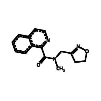 CN(CC1=NOCC1)C(=O)c1nccc2ccccc12